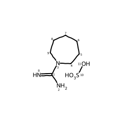 N=C(N)N1CCCCCC1.O=S(=O)(O)O